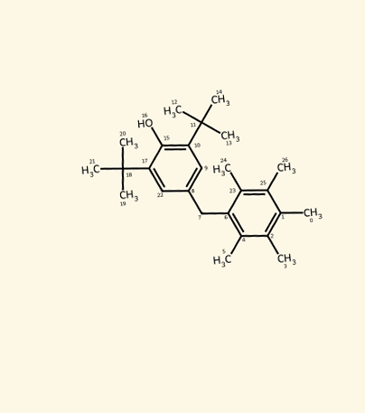 Cc1c(C)c(C)c(Cc2cc(C(C)(C)C)c(O)c(C(C)(C)C)c2)c(C)c1C